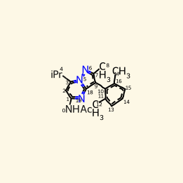 CC(=O)Nc1cc(C(C)C)n2nc(C)c(-c3c(C)cccc3C)c2n1